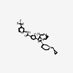 Nc1nccn2c([C@@H]3CCCN(CC4CC4)C3)nc(-c3ccc(C(=O)Nc4cc(C(F)(F)F)ccn4)cc3)c12